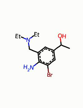 CCN(CC)Cc1cc(C(C)O)cc(Br)c1N